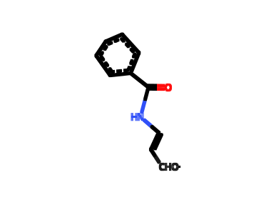 O=[C]C=CNC(=O)c1ccccc1